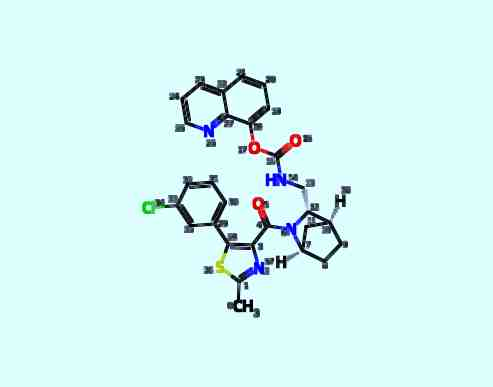 Cc1nc(C(=O)N2[C@@H]3CC[C@@H](C3)[C@H]2CNC(=O)Oc2cccc3cccnc23)c(-c2cccc(Cl)c2)s1